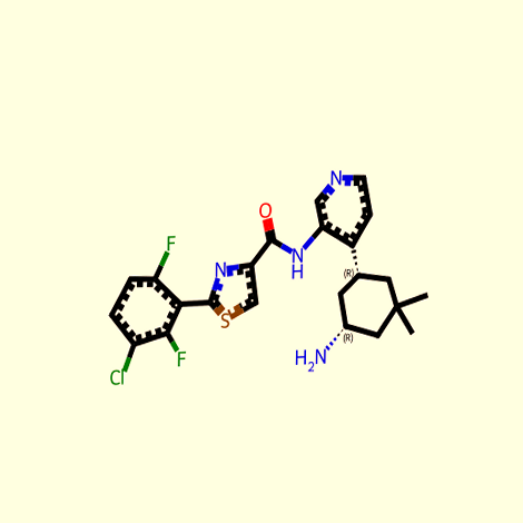 CC1(C)C[C@H](N)C[C@H](c2ccncc2NC(=O)c2csc(-c3c(F)ccc(Cl)c3F)n2)C1